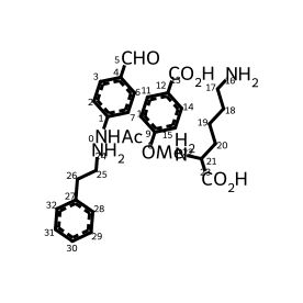 CC(=O)Nc1ccc(C=O)cc1.COc1ccc(C(=O)O)cc1.NCCCCC(N)C(=O)O.NCCc1ccccc1